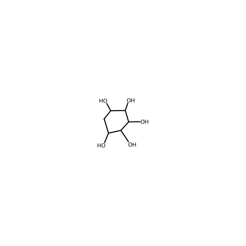 OC1[CH]C(O)C(O)C(O)C1O